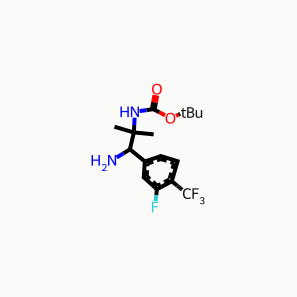 CC(C)(C)OC(=O)NC(C)(C)C(N)c1ccc(C(F)(F)F)c(F)c1